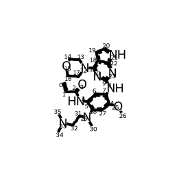 C=CC(=O)Nc1cc(Nc2nc(N3CCOCC3)c3cc[nH]c3n2)c(OC)cc1N(C)CCN(C)C